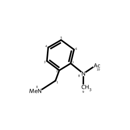 CNCc1ccccc1N(C)C(C)=O